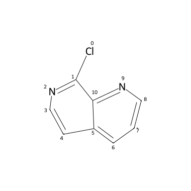 Clc1nccc2c[c]cnc12